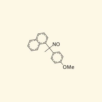 COc1ccc(C(C)(N=O)c2cccc3ccccc23)cc1